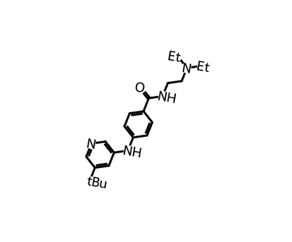 CCN(CC)CCNC(=O)c1ccc(Nc2cncc(C(C)(C)C)c2)cc1